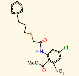 COC(=O)c1c(NC(=O)CSCCCc2ccccc2)cc(Cl)cc1[N+](=O)[O-]